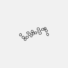 c1ccc(-c2ccc3oc4ccc(-c5c6ccccc6c(-c6ccc7oc8c(-c9c%10ccccc%10c(-c%10ccc%11oc%12ccc(-c%13ccccc%13)cc%12c%11c%10)c%10ccccc9%10)cccc8c7c6)c6ccccc56)cc4c3c2)cc1